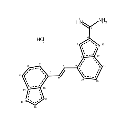 Cl.N=C(N)c1cc2c(/C=C/c3cccc4sccc34)cccc2s1